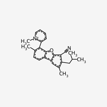 Cc1cc2c(oc3c(-c4cccc[n+]4C)c(C)ccc32)c(C#N)c1CC(C)C